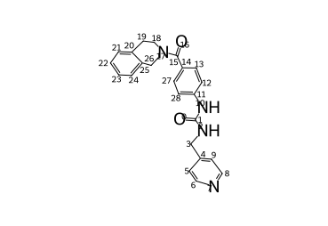 O=C(NCc1ccncc1)Nc1ccc(C(=O)N2CCc3ccccc3C2)cc1